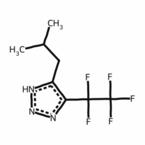 CC(C)Cc1[nH]nnc1C(F)(F)C(F)(F)F